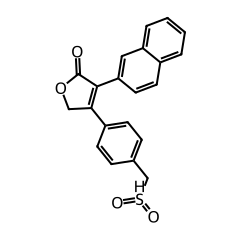 O=C1OCC(c2ccc(C[SH](=O)=O)cc2)=C1c1ccc2ccccc2c1